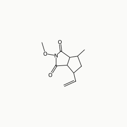 C=CC1CC(C)C2C(=O)N(OC)C(=O)C12